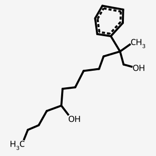 CCCCC(O)CCCCCC(C)(CO)c1ccccc1